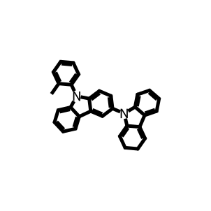 Cc1ccccc1-n1c2ccccc2c2cc(-n3c4c(c5ccccc53)=CCCC=4)ccc21